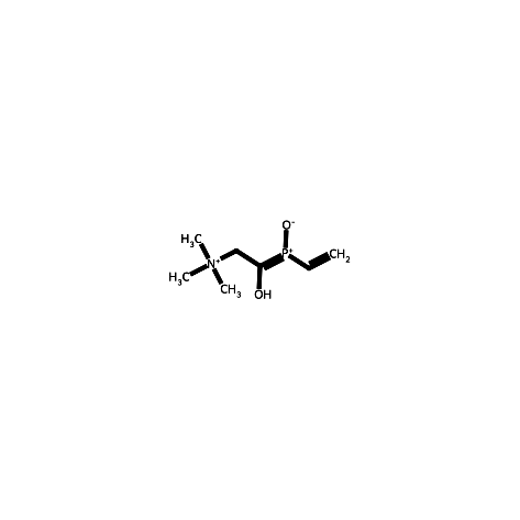 C=C/[P+]([O-])=C(\O)C[N+](C)(C)C